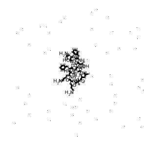 CC(C)C[C@H](N)C(=O)N[C@@H](C)C(=O)N[C@@H](CCCCN)C(=O)N[C@@H](CCCCN)C(=O)N[C@@H](Cc1ccccc1)C(=O)N[C@@H](CC(=O)O)C(=O)N[C@H](C(=O)N[C@@H](Cc1ccccc1)C(=O)N[C@@H](CC(N)=O)C(=O)O)[C@@H](C)O